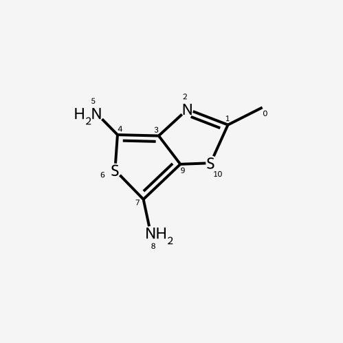 Cc1nc2c(N)sc(N)c2s1